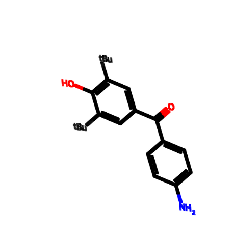 CC(C)(C)c1cc(C(=O)c2ccc(N)cc2)cc(C(C)(C)C)c1O